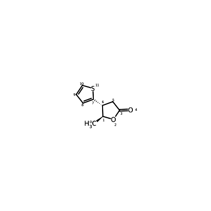 C[C@@H]1OC(=O)C[C@H]1c1cccs1